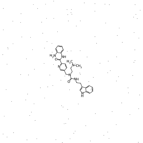 CN(C)CCN(Cc1ccc(C(=O)Nc2ccccc2N)nc1)C(=O)NCCc1c[nH]c2ccccc12